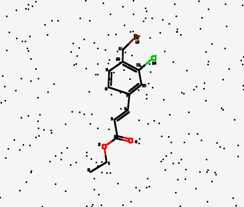 CCOC(=O)/C=C/c1ccc(CBr)c(Cl)c1